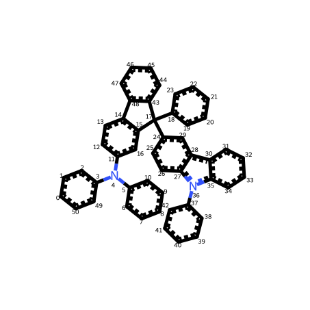 c1ccc(N(c2ccccc2)c2ccc3c(c2)C(c2ccccc2)(c2ccc4c(c2)c2ccccc2n4-c2ccccc2)c2ccccc2-3)cc1